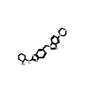 OC1CCCCC1Nc1nc2ccc(Cn3cnc4cc(N5CCOCC5)ccc43)cc2s1